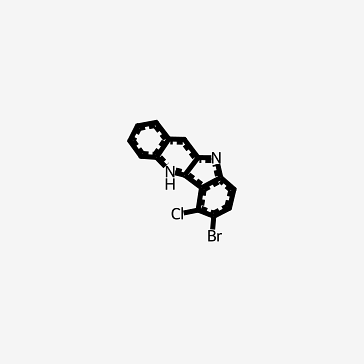 Clc1c(Br)ccc2nc3cc4ccccc4[nH]c-3c12